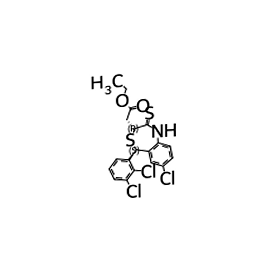 CCOC(=O)C[C@H]1S[C@H](c2cccc(Cl)c2Cl)c2cc(Cl)ccc2NC1=S